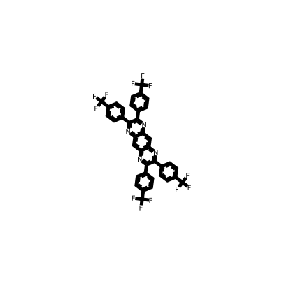 FC(F)(F)c1ccc(-c2nc3cc4nc(-c5ccc(C(F)(F)F)cc5)c(-c5ccc(C(F)(F)F)cc5)nc4cc3nc2-c2ccc(C(F)(F)F)cc2)cc1